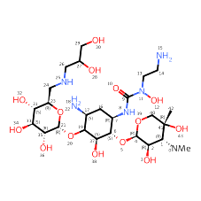 CN[C@@H]1[C@@H](O)[C@@H](O[C@H]2[C@H](NC(=O)N(O)CCN)C[C@H](N)C(O[C@H]3O[C@H](CNCC(O)CO)[C@@H](O)[C@H](O)[C@H]3O)[C@@H]2O)OC[C@]1(C)O